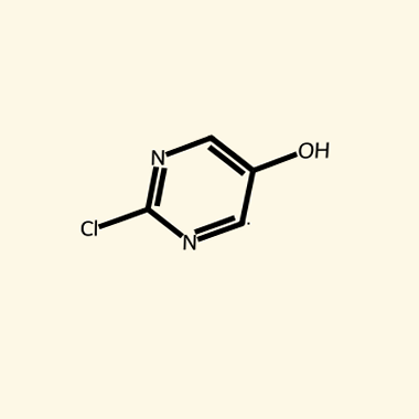 Oc1[c]nc(Cl)nc1